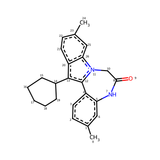 Cc1ccc2c(c1)NC(=O)Cn1c-2c(C2CCCCC2)c2ccc(C)cc21